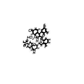 CS(=O)(=O)N1CCC2(CC1)CNC[C@@H](CCc1c(F)cccc1NC(=O)C(NC(=O)O)C(c1ccc(Cl)cc1)c1cc(F)cc(F)c1)O2